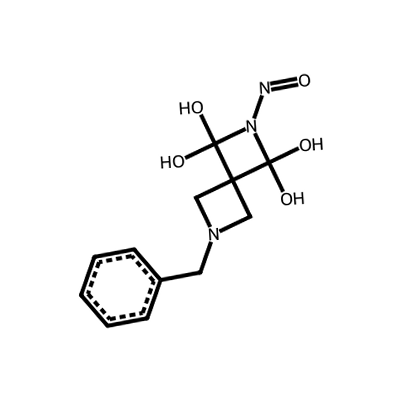 O=NN1C(O)(O)C2(CN(Cc3ccccc3)C2)C1(O)O